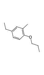 CCCOc1ccc(CC)cc1C